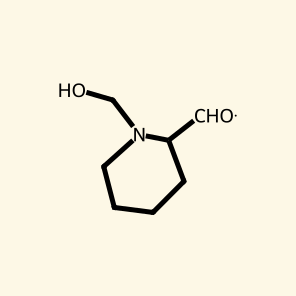 O=[C]C1CCCCN1CO